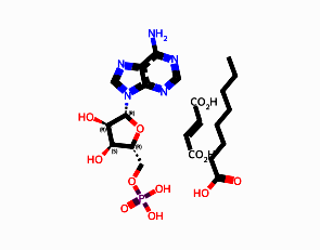 CCCCCCCC(=O)O.Nc1ncnc2c1ncn2[C@@H]1O[C@H](COP(=O)(O)O)[C@@H](O)[C@H]1O.O=C(O)C=CC(=O)O